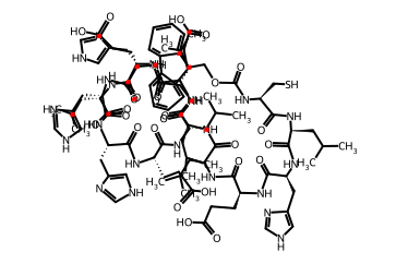 CC(C)C[C@H](NC(=O)[C@H](CS)NC(=O)OCC1c2ccccc2-c2ccccc21)C(=O)N[C@@H](Cc1c[nH]cn1)C(=O)N[C@@H](CCC(=O)O)C(=O)N[C@@H](CC(C)C)C(=O)N[C@@H](CC(C)C)C(=O)N[C@@H](CCC(=O)O)C(=O)N[C@@H](Cc1c[nH]cn1)C(=O)N[C@@H](CC(C)C)C(=O)N[C@@H](Cc1c[nH]cn1)C(=O)N[C@@H](CCC(=O)O)C(=O)N[C@@H](CC(C)C)C(=O)N[C@@H](CC(C)C)C(=O)N[C@@H](CCC(=O)O)C(=O)N[C@@H](Cc1c[nH]cn1)C(=O)O